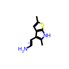 Cc1cc2c(/C=C/N)c(C)[nH]c2s1